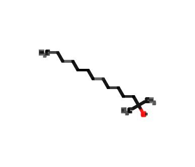 CCCCCCCCCCCCC(C)(C)[O]